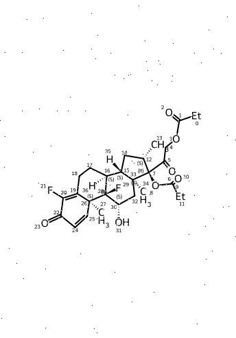 CCC(=O)OCC(=O)[C@@]1(OC(=O)CC)[C@@H](C)C[C@H]2[C@@H]3CCC4=C(F)C(=O)C=C[C@]4(C)[C@@]3(F)[C@@H](O)C[C@@]21C